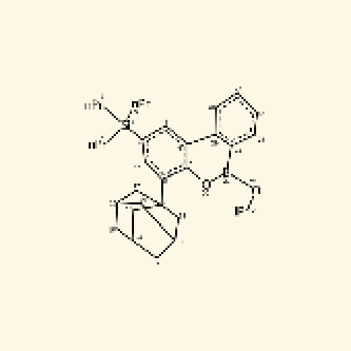 CCC[Si](CCC)(CCC)c1cc2c(c(C34CC5CC(CC(C5)C3)C4)c1)OB(OC(C)C)c1ccccc1-2